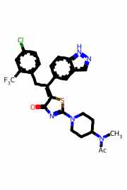 CC(=O)N(C)C1CCN(C2=NC(=O)C(=C(Cc3ccc(Cl)cc3C(F)(F)F)c3ccc4[nH]ncc4c3)S2)CC1